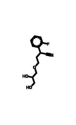 N#CC(CCOCC(O)CO)c1ccccc1F